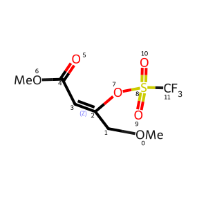 COC/C(=C/C(=O)OC)OS(=O)(=O)C(F)(F)F